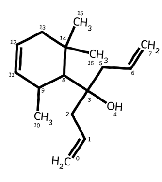 C=CCC(O)(CC=C)C1C(C)C=CCC1(C)C